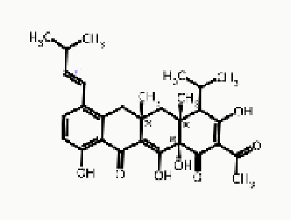 CC(=O)C1=C(O)C(C(C)C)[C@@]2(C)C[C@@]3(C)Cc4c(/C=C/C(C)C)ccc(O)c4C(=O)C3=C(O)[C@@]2(O)C1=O